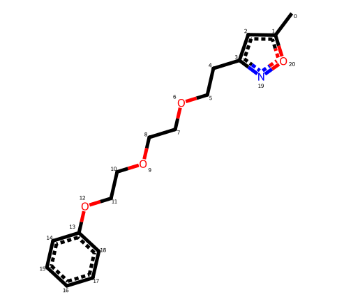 Cc1cc(CCOCCOCCOc2ccccc2)no1